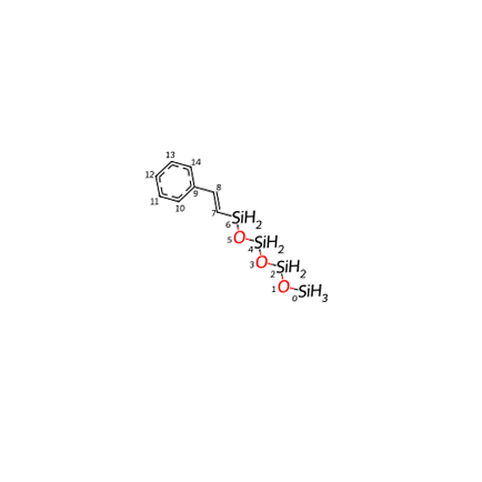 [SiH3]O[SiH2]O[SiH2]O[SiH2]C=Cc1ccccc1